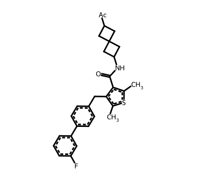 CC(=O)C1CC2(CC(NC(=O)c3c(C)sc(C)c3Cc3ccc(-c4cccc(F)c4)cc3)C2)C1